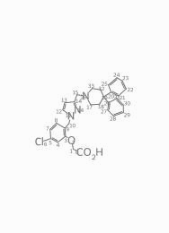 O=C(O)COc1cc(Cl)ccc1Cn1ccc(CN2CCC(c3ccccc3)(c3ccccc3)CC2)n1